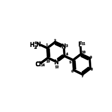 Nc1cnc(-c2ccccc2F)nc1Cl